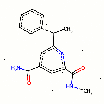 CNC(=O)c1cc(C(N)=O)cc(C(C)c2ccccc2)n1